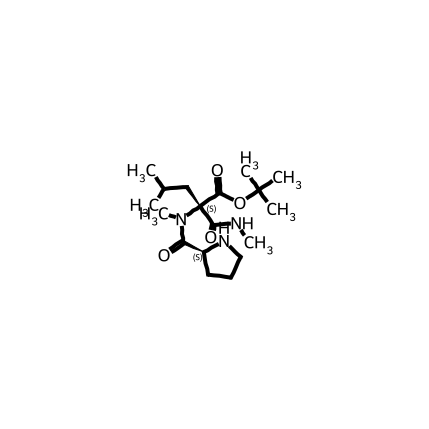 CNC(=O)[C@@](CC(C)C)(C(=O)OC(C)(C)C)N(C)C(=O)[C@@H]1CCCN1